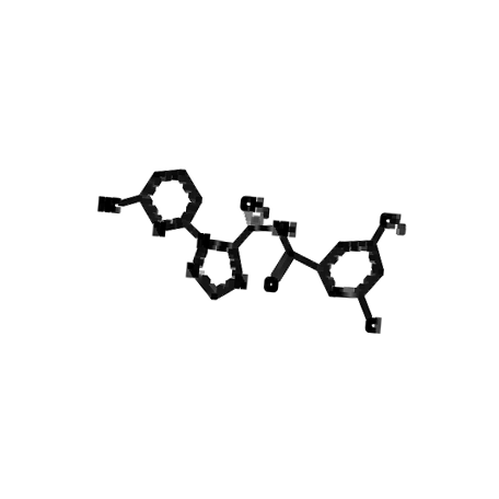 C[C@H](NC(=O)c1cc(Cl)cc(C(F)(F)F)c1)c1ncnn1-c1cccc(C#N)n1